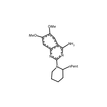 CCCCCC1CCCCN1c1nc(N)c2cc(OC)c(OC)cc2n1